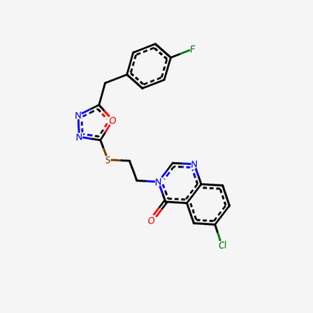 O=c1c2cc(Cl)ccc2ncn1CCSc1nnc(Cc2ccc(F)cc2)o1